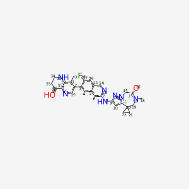 Cc1c(-c2cc3cc(Nc4cc5n(n4)CC(=O)N(C)CC54CC4)ncc3cc2F)cnc2c1NCC[C@@H]2O